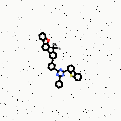 CC1(C)c2ccc(-c3cccc(-c4nc(-c5ccccc5)nc(-c5cccc6c5sc5ccccc56)n4)c3)cc2-c2ccc3c(oc4ccccc43)c21